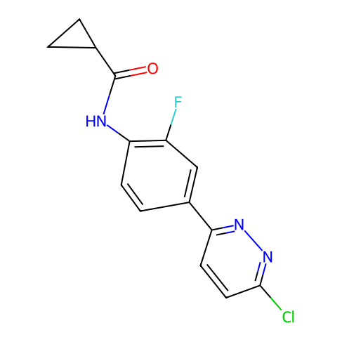 O=C(Nc1ccc(-c2ccc(Cl)nn2)cc1F)C1CC1